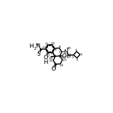 CN(CC1CCC1)[C@@H]1Cc2ccc(C(N)=S)c(O)c2C2(C)CC(=O)CC[C@@]12O